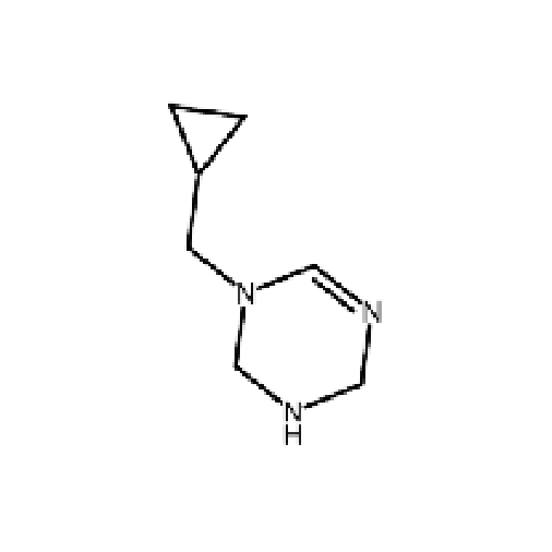 C1=NCNCN1CC1CC1